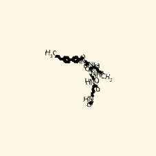 CCCCc1ccc(-c2ccc(C(=O)NCC(=O)NC(CCCC)C(=O)NCC(=O)NC(C=O)CCCCNC=O)cc2)cc1